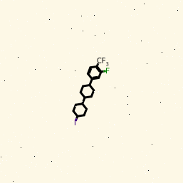 Fc1cc(C2CCC(C3CCC(I)CC3)CC2)ccc1C(F)(F)F